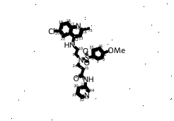 COc1ccc(S(=O)(=O)N(CCNc2cc(C)nc3ccc(Cl)cc23)CCC(=O)Nc2cccnc2)cc1